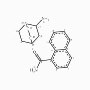 NC(=O)c1cccc2ccccc12.NC1CC2CCN1CC2